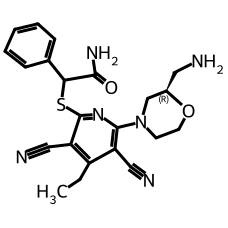 CCc1c(C#N)c(SC(C(N)=O)c2ccccc2)nc(N2CCO[C@H](CN)C2)c1C#N